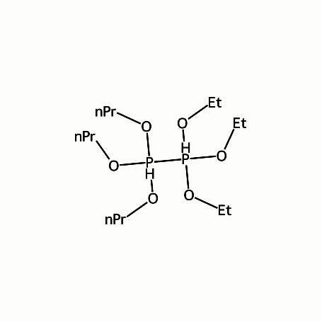 CCCO[PH](OCCC)(OCCC)[PH](OCC)(OCC)OCC